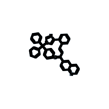 O=C(C=Cc1ccccc1-c1cn(C(c2ccccc2)(c2ccccc2)c2ccccc2)cn1)c1ccc2ncccc2c1